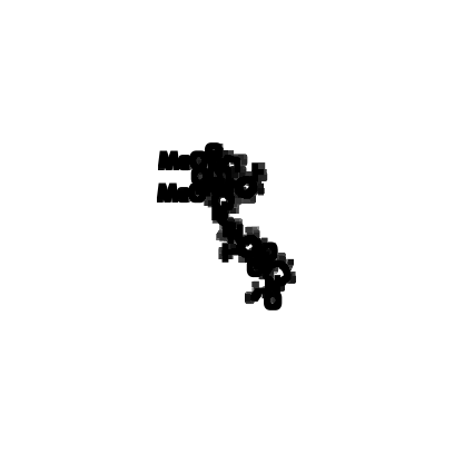 C=CC(=O)N1CCCC[C@@H](S(=O)(=O)c2ccc(N3CC(CN4CCC([C@@](CNC(=O)OC)(c5cccc(F)c5)[C@H]5CCC[C@@H]5NC(=O)OC)CC4)C3)c(F)c2)C1